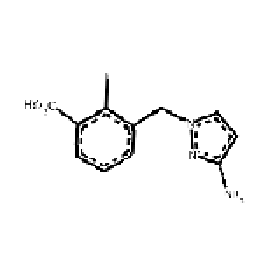 Cc1c(Cn2ccc(N)n2)cccc1C(=O)O